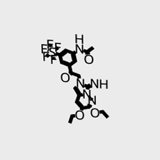 CCOc1cc2cn(CC(=O)c3cc(NC(C)=O)cc(S(F)(F)(F)(F)F)c3)c(=N)n2nc1OCC